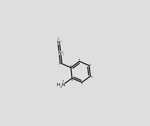 [N-]=[N+]=Cc1ccccc1N